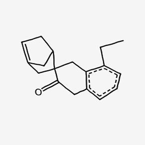 CCc1cccc2c1CC1(CC3=CCC1C3)C(=O)C2